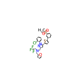 CS(=O)(=O)c1cccc(-c2ccc(-c3cc(CN(Cc4ccco4)CC(F)(F)F)nn3-c3ccccc3Cl)s2)c1